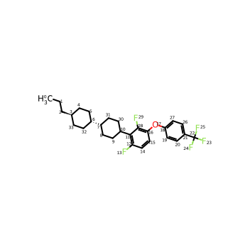 CCC[C@H]1CC[C@H](C2CCC(c3c(F)c[c]c(Oc4ccc(C(F)(F)F)cc4)c3F)CC2)CC1